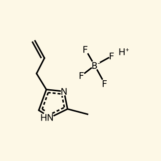 C=CCc1c[nH]c(C)n1.F[B-](F)(F)F.[H+]